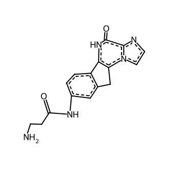 NCCC(=O)Nc1ccc2c(c1)Cc1c-2[nH]c(=O)c2nccn12